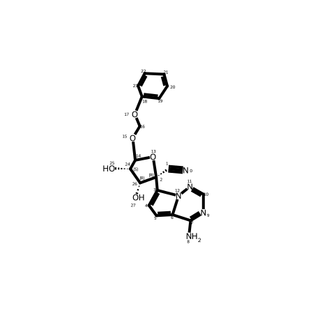 N#C[C@@]1(c2ccc3c(N)ncnn23)OC(OCOc2ccccc2)[C@@H](O)[C@H]1O